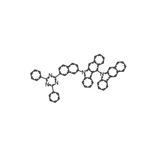 c1ccc(-c2nc(-c3ccccc3)nc(-c3ccc4ccc(-n5c6ccccc6c6c(-n7c8ccccc8c8cc9ccccc9cc87)c7ccccc7cc65)cc4c3)n2)cc1